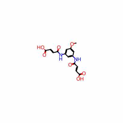 COc1cc(NC(=O)C=CC(=O)O)cc(NC(=O)C=CC(=O)O)c1